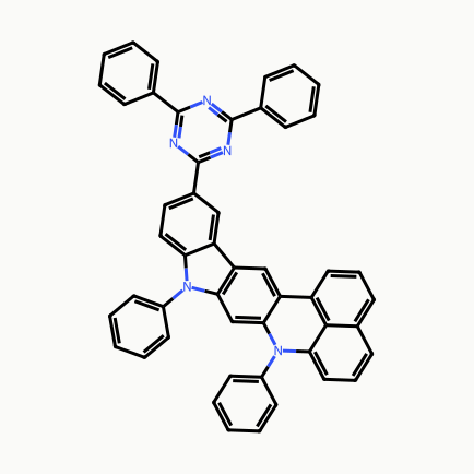 c1ccc(-c2nc(-c3ccccc3)nc(-c3ccc4c(c3)c3cc5c(cc3n4-c3ccccc3)N(c3ccccc3)c3cccc4cccc-5c34)n2)cc1